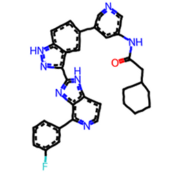 O=C(CC1CCCCC1)Nc1cncc(-c2ccc3[nH]nc(-c4nc5c(-c6cccc(F)c6)nccc5[nH]4)c3c2)c1